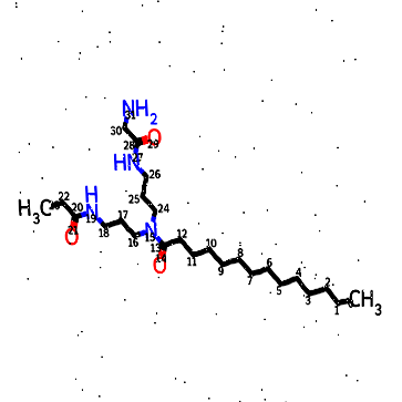 CCCCCCCCCCCCCC(=O)N(CCCNC(=O)CC)CCCNC(=O)CN